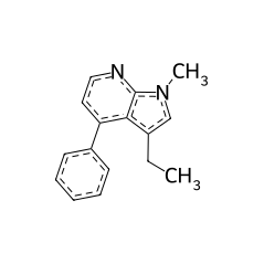 CCc1cn(C)c2nccc(-c3ccccc3)c12